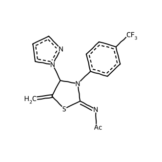 C=C1SC(=NC(C)=O)N(c2ccc(C(F)(F)F)cc2)C1n1cccn1